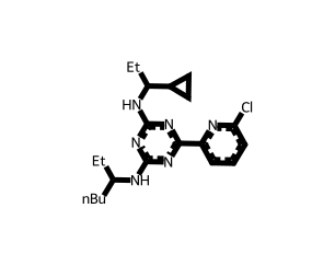 CCCCC(CC)Nc1nc(NC(CC)C2CC2)nc(-c2cccc(Cl)n2)n1